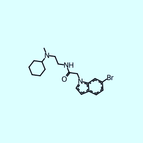 CN(CCNC(=O)Cn1ccc2ccc(Br)cc21)C1CCCCC1